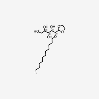 CCCCCCCCCCCCO[C@@H](C1OCCO1)[C@@H](O)[C@H](O)[C@H](O)CO